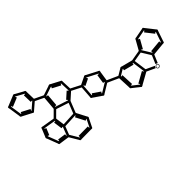 c1ccc(-c2ccc(-c3ccc(-c4ccc5oc6ccccc6c5c4)cc3)c3c2-c2cccc4cccc-3c24)cc1